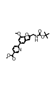 COC(=O)c1ccc(-c2cc(OC)c3oc(CNC(=O)OC(C)(C)C)cc3c2)nc1